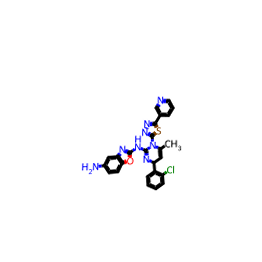 CC1=CC(c2ccccc2Cl)N=C(Nc2nc3cc(N)ccc3o2)N1c1nnc(-c2cccnc2)s1